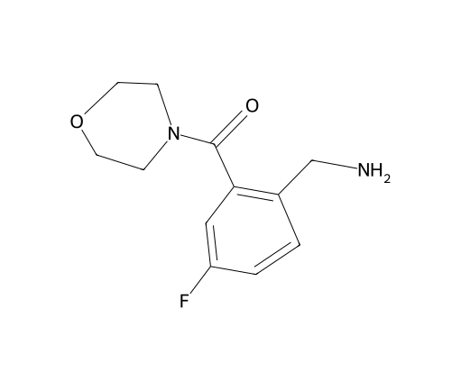 NCc1ccc(F)cc1C(=O)N1CCOCC1